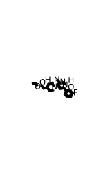 CCOC(=O)CC1CCN(c2cc(-c3cccc(F)c3O)nnc2N)CC1